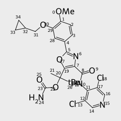 COc1ccc(-c2nc(C(=O)Nc3c(Cl)cncc3Cl)c(C(C)(OC(N)=O)C(C)(C)C)o2)cc1OCC1CC1